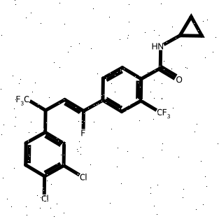 O=C(NC1CC1)c1ccc(/C(F)=C/C(c2ccc(Cl)c(Cl)c2)C(F)(F)F)cc1C(F)(F)F